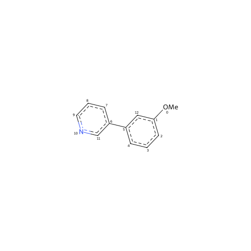 COc1cccc(-c2cc[c]nc2)c1